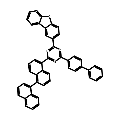 c1ccc(-c2ccc(-c3nc(-c4ccc5oc6ccccc6c5c4)nc(-c4cccc5c(-c6cccc7ccccc67)cccc45)n3)cc2)cc1